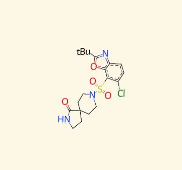 CC(C)(C)c1nc2ccc(Cl)c(S(=O)(=O)N3CCC4(CCNC4=O)CC3)c2o1